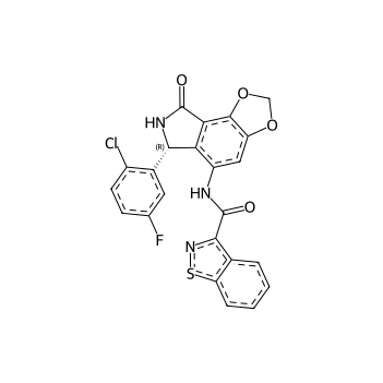 O=C1N[C@@H](c2cc(F)ccc2Cl)c2c(NC(=O)c3nsc4ccccc34)cc3c(c21)OCO3